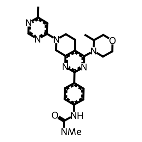 CNC(=O)Nc1ccc(-c2nc3c(c(N4CCOCC4C)n2)CCN(c2cc(C)ncn2)C3)cc1